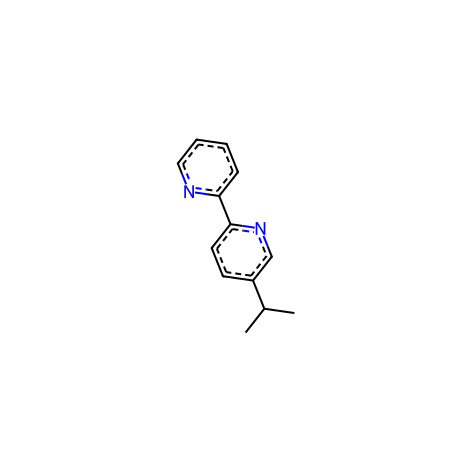 CC(C)c1ccc(-c2ccccn2)nc1